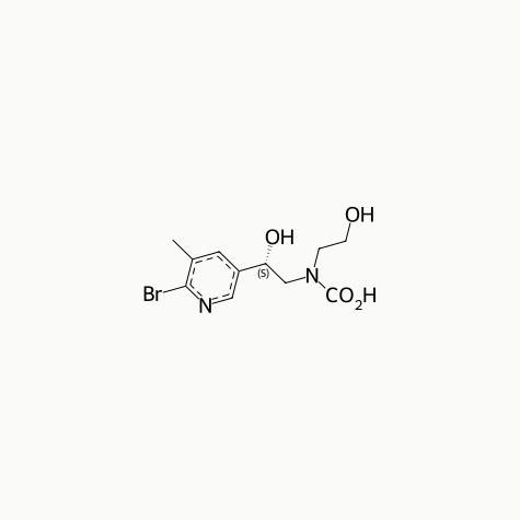 Cc1cc([C@H](O)CN(CCO)C(=O)O)cnc1Br